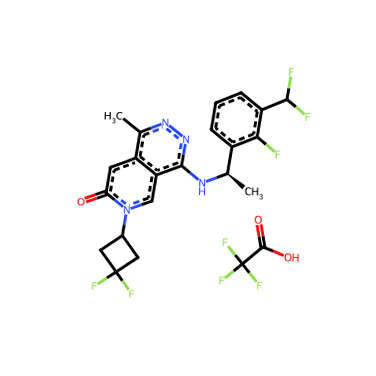 Cc1nnc(N[C@H](C)c2cccc(C(F)F)c2F)c2cn(C3CC(F)(F)C3)c(=O)cc12.O=C(O)C(F)(F)F